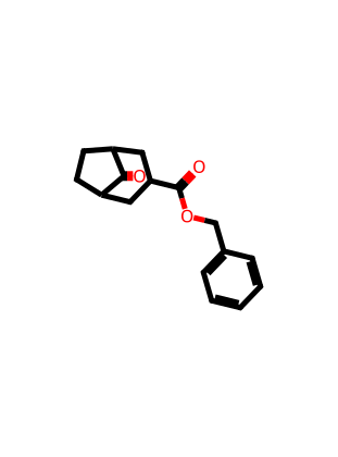 O=C(OCc1ccccc1)C1CC2CCC(C1)C2=O